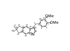 COc1ccc(Cn2cnc3cc4c(cc32)CC(C)(C)C4)cc1OC